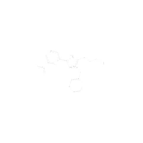 CCCCc1nc(-c2cccc([N+](=O)[O-])c2)cn1CC1CCCCO1